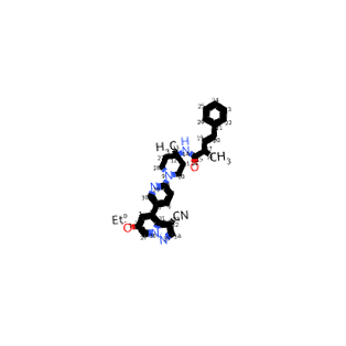 CCOc1cc(-c2ccc(N3CCC(C)(NC(=O)C(C)/C=C/c4ccccc4)CC3)nc2)c2c(C#N)cnn2c1